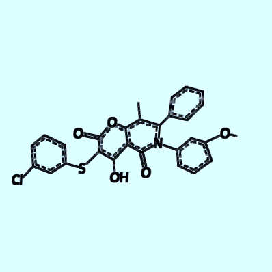 COc1cccc(-n2c(-c3ccccc3)c(C)c3oc(=O)c(Sc4cccc(Cl)c4)c(O)c3c2=O)c1